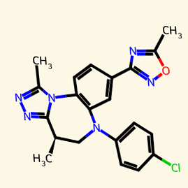 Cc1nc(-c2ccc3c(c2)N(c2ccc(Cl)cc2)C[C@@H](C)c2nnc(C)n2-3)no1